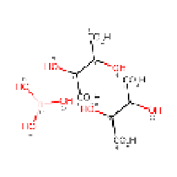 O=C(O)C(O)C(O)C(=O)O.O=C(O)C(O)C(O)C(=O)O.OB(O)O